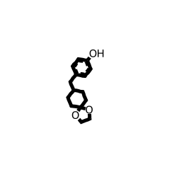 Oc1ccc(CC2CCC3(CC2)OCCO3)cc1